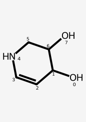 OC1C=CNCC1O